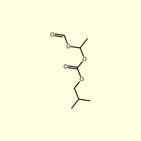 CC(C)COC(=O)OC(C)OC=O